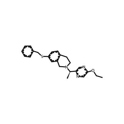 CCOc1cnc([C@@H](C)N2CCc3ccc(SCc4ccccc4)cc3C2)cn1